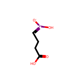 O=C(O)CC/C=[P+](/[O-])O